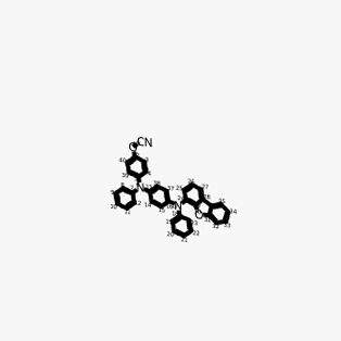 N#COc1ccc(N(c2ccccc2)c2ccc(N(c3ccccc3)c3cccc4c3oc3ccccc34)cc2)cc1